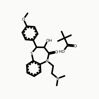 CC(C)(C)C(=O)O.COc1ccc(C2Sc3ccccc3N(CCN(C)C)C(=O)C2O)cc1